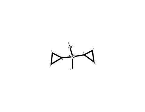 CC(=O)[Si](C)(C1CC1)C1CC1